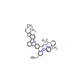 C=C/C=C\c1sc2c(ccc3c2c2cccc4c5cc(-c6cc(CC(C)(C)C)cc[n+]6C)c(/C=C/C6C(C)C7C=CC=CC7(C)c7cccc[n+]76)cc5n3c42)c1C